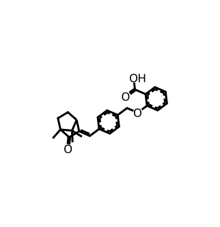 CC12CCC(C(=Cc3ccc(COc4ccccc4C(=O)O)cc3)C1=O)C2(C)C